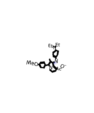 CC(=O)[O-].CCN(CC)c1ccc(/N=C2\C(C)=C(c3ccc(OC)cc3)[n+]3ccccc32)cc1